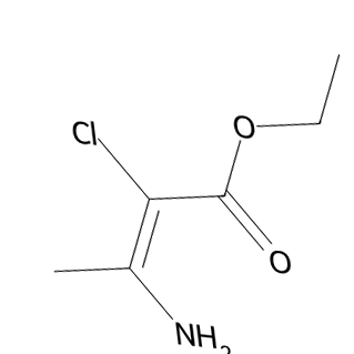 CCOC(=O)C(Cl)=C(C)N